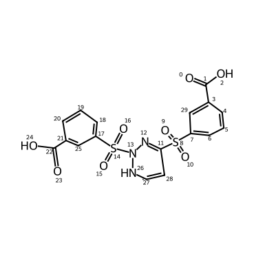 O=C(O)c1cccc(S(=O)(=O)C2=NN(S(=O)(=O)c3cccc(C(=O)O)c3)N[C]=C2)c1